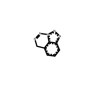 c1cc2c3c(c1)nnn3N=NC2